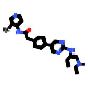 C=C/C(=C\N(C)C=C)Nc1ncc(-c2ccc(CC(=O)Nc3ccncc3C(F)(F)F)cc2)cn1